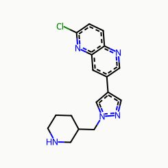 Clc1ccc2ncc(-c3cnn(CC4CCCNC4)c3)cc2n1